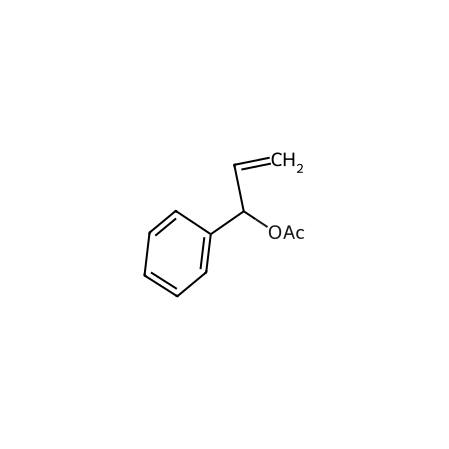 C=CC(OC(C)=O)c1ccccc1